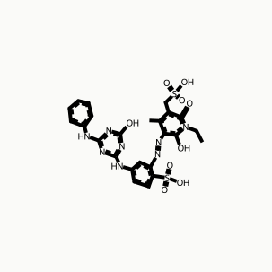 CCn1c(O)c(N=Nc2cc(Nc3nc(O)nc(Nc4ccccc4)n3)ccc2S(=O)(=O)O)c(C)c(CS(=O)(=O)O)c1=O